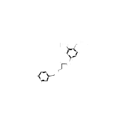 O=Cc1ccc(OCCOCc2ccccc2)cc1Br